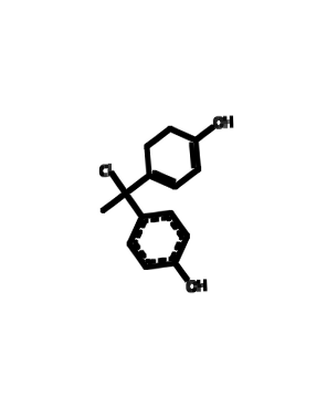 CC(Cl)(C1=CC=C(O)CC1)c1ccc(O)cc1